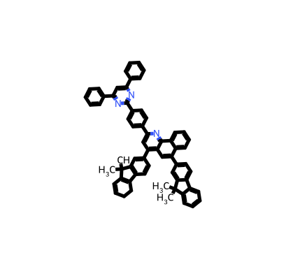 CC1(C)C2=C(CCC=C2)c2ccc(-c3cc(-c4ccc(-c5nc(-c6ccccc6)cc(-c6ccccc6)n5)cc4)nc4c3cc(-c3ccc5c(c3)C(C)(C)c3ccccc3-5)c3ccccc34)cc21